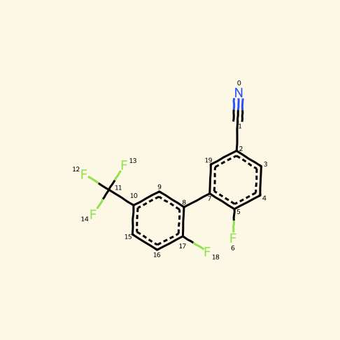 N#Cc1ccc(F)c(-c2cc(C(F)(F)F)ccc2F)c1